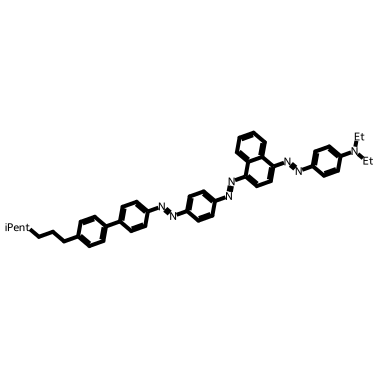 CCCC(C)CCCc1ccc(-c2ccc(N=Nc3ccc(N=Nc4ccc(N=Nc5ccc(N(CC)CC)cc5)c5ccccc45)cc3)cc2)cc1